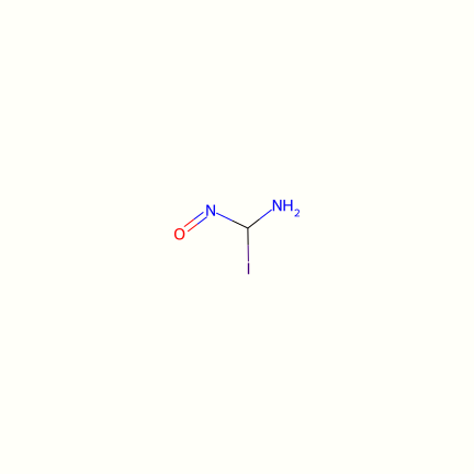 NC(I)N=O